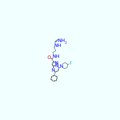 N/C=C\NCCCNC(=O)c1cc2nc(-c3ccccc3)cc(N3CCC(F)CC3)n2n1